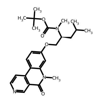 CC(C)C[C@@H](COc1ccc2c3ccncc3c(=O)n(C)c2c1)N(C)C(=O)OC(C)(C)C